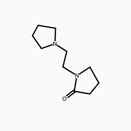 O=C1CCCN1CCN1CCCC1